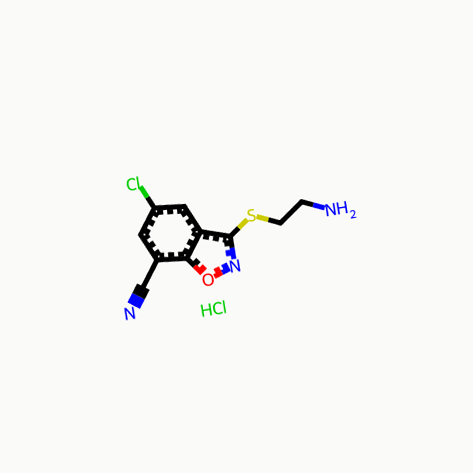 Cl.N#Cc1cc(Cl)cc2c(SCCN)noc12